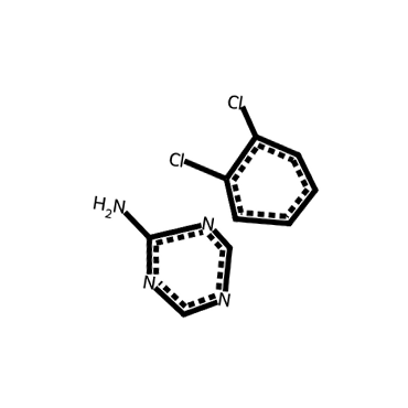 Clc1ccccc1Cl.Nc1ncncn1